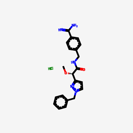 CO[C@H](C(=O)NCc1ccc(C(=N)N)cc1)c1ccn(Cc2ccccc2)n1.Cl